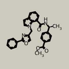 COC(=O)c1ccc([C@H](C)NC(=O)c2cccc3ccn(Cc4coc(-c5ccccc5)n4)c23)cc1